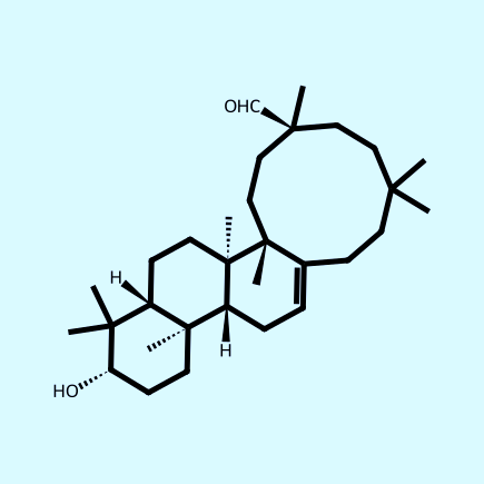 CC1(C)CCC2=CC[C@@H]3[C@@]4(C)CC[C@H](O)C(C)(C)[C@@H]4CC[C@@]3(C)[C@]2(C)CC[C@@](C)(C=O)CC1